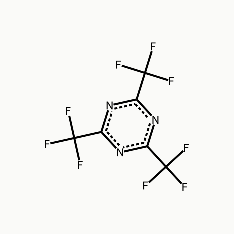 FC(F)(F)c1nc(C(F)(F)F)nc(C(F)(F)F)n1